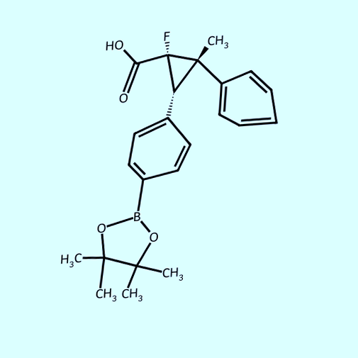 CC1(C)OB(c2ccc([C@@H]3[C@@](F)(C(=O)O)[C@]3(C)c3ccccc3)cc2)OC1(C)C